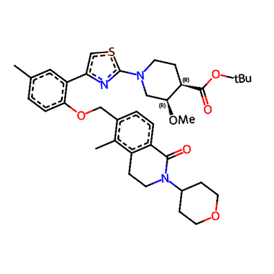 CO[C@H]1CN(c2nc(-c3cc(C)ccc3OCc3ccc4c(c3C)CCN(C3CCOCC3)C4=O)cs2)CC[C@H]1C(=O)OC(C)(C)C